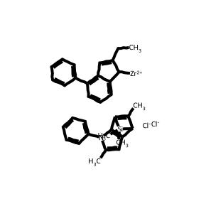 CC1=C2c3c(cc(C)n3-c3ccccc3)C1[Si]2(C)C.CCC1=Cc2c(-c3ccccc3)cccc2[CH]1[Zr+2].[Cl-].[Cl-]